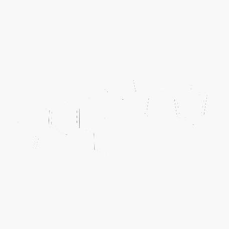 CC(C)Cc1cc([N+](=O)[O-])ccc1S(=O)(=O)NCC(O)C(N)Cc1ccccc1